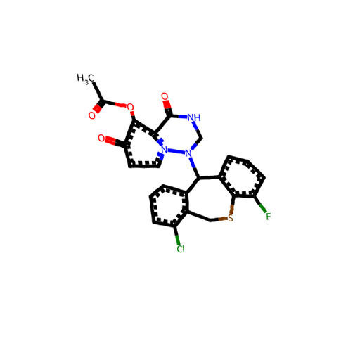 CC(=O)Oc1c2n(ccc1=O)N(C1c3cccc(Cl)c3CSc3c(F)cccc31)CNC2=O